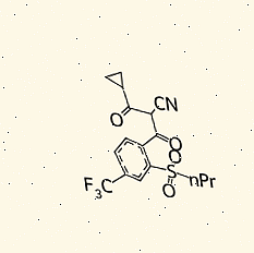 CCCS(=O)(=O)c1cc(C(F)(F)F)ccc1C(=O)C(C#N)C(=O)C1CC1